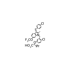 Cc1c(Sc2ccc(Cl)cc2)c2ccc(OC(F)(F)F)cc2n1Cc1cc(OC(C(=O)O)C(C)C)ccc1Cl